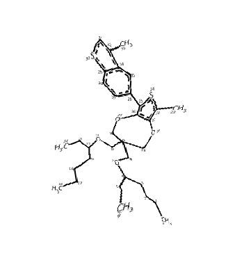 CCCCC(CC)OCC1(COC(CC)CCCC)COc2c(C)sc(-c3ccc4scc(C)c4c3)c2OC1